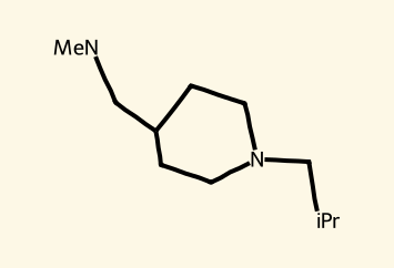 CNCC1CCN(CC(C)C)CC1